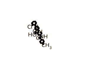 Cc1ccc(C(=O)Nc2cnc(N3CCN(c4ccccc4Cl)CC3)c(C(=O)O)c2)cc1